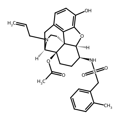 C=CCN1CC[C@]23c4c5ccc(O)c4O[C@H]2[C@@H](NS(=O)(=O)Cc2ccccc2C)CC[C@]3(OC(C)=O)[C@H]1C5